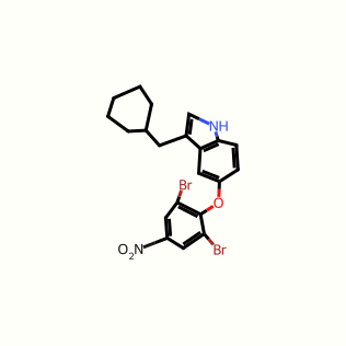 O=[N+]([O-])c1cc(Br)c(Oc2ccc3[nH]cc(CC4CCCCC4)c3c2)c(Br)c1